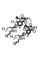 CCC(NCCC#N)C1CN(c2c(F)cc3c(=O)[nH]c(=O)n(C4CC4)c3c2OC)C1.CCC(NCCC#N)C1CN(c2c(F)cc3c(=O)n(N)c(=O)n(C4CC4)c3c2C)C1